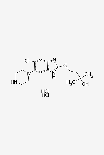 CC(C)(O)CCSc1nc2cc(Cl)c(N3CCNCC3)cc2[nH]1.Cl.Cl